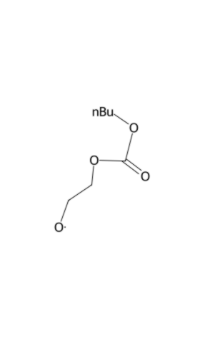 CCCCOC(=O)OCC[O]